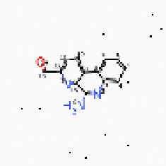 Nc1nc2ccccc2c2ccc(C=O)nc12